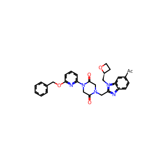 CC(=O)c1ccc2nc(CN3CC(=O)N(c4cccc(OCc5ccccc5)n4)CC3=O)n(C[C@@H]3CCO3)c2c1